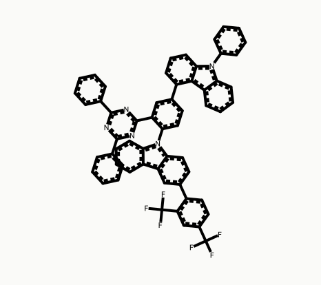 FC(F)(F)c1ccc(-c2ccc3c(c2)c2ccccc2n3-c2ccc(-c3cccc4c3c3ccccc3n4-c3ccccc3)cc2-c2nc(-c3ccccc3)nc(-c3ccccc3)n2)c(C(F)(F)F)c1